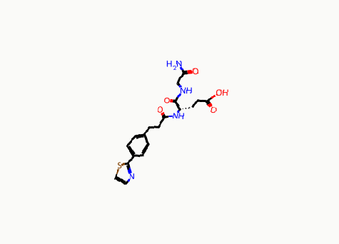 NC(=O)CNC(=O)[C@H](CCC(=O)O)NC(=O)CCc1ccc(-c2nccs2)cc1